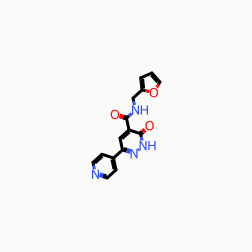 O=C(NCc1ccco1)c1cc(-c2ccncc2)n[nH]c1=O